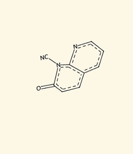 N#Cn1c(=O)ccc2cccnc21